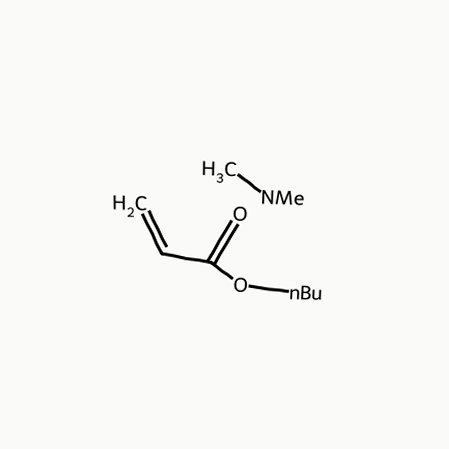 C=CC(=O)OCCCC.CNC